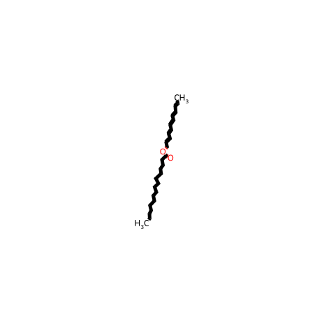 CC=CC=CC=CC=CC=CCOC(=O)CCCCCCCCCCCCCCC